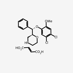 COc1cc(Cl)c(Cl)cc1O[C@@H](c1ccccc1)[C@@H]1CNCCO1.O=C(O)/C=C/C(=O)O